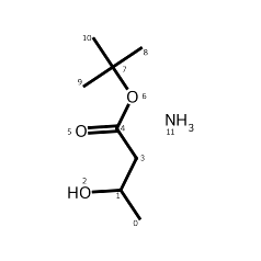 CC(O)CC(=O)OC(C)(C)C.N